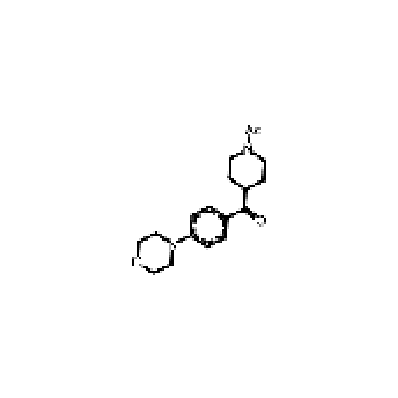 CC(=O)N1CCC(C(=O)c2ccc(N3CCOCC3)cc2)CC1